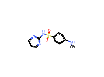 CCCNc1ccc(S(=O)(=O)Nc2ncccn2)cc1